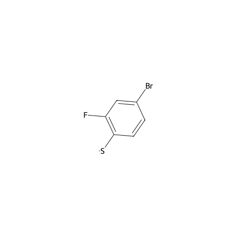 Fc1cc(Br)ccc1[S]